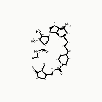 CCNC(=O)[C@H]1O[C@@H](n2cnc3c(N)nc(CCCC4CCN(C(=O)OCC5CCC(=O)N5C)CC4)nc32)C(O)[C@H]1O